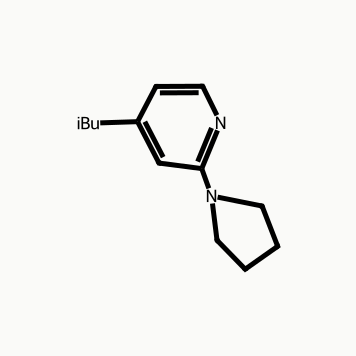 CCC(C)c1ccnc(N2CCCC2)c1